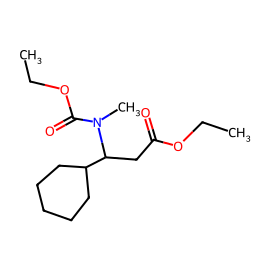 CCOC(=O)CC(C1CCCCC1)N(C)C(=O)OCC